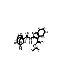 CC(C)OC(=O)c1c(NC(=O)C23CC4CC2C[C@@H](C4)C3)sc2c1CCCC2